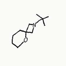 CC(C)(C)N1CC2(CCCCO2)C1